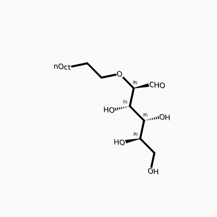 CCCCCCCCCCO[C@@H](C=O)[C@@H](O)[C@H](O)[C@H](O)CO